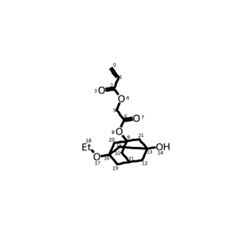 C=CC(=O)OCC(=O)OC12CC3CC(O)(CC(OCC)(C3)C1)C2